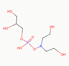 O=P(O)(OCC(O)CO)ON(CCO)CCO